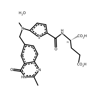 Cc1nc2ccc(CN(C)c3ccc(C(=O)N[C@@H](CCC(=O)O)C(=O)O)s3)cc2c(=O)[nH]1.O